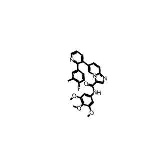 COc1cc(NC(=O)c2cnc3ccc(-c4cccnc4-c4ccc(F)c(C)c4)cn23)cc(OC)c1OC